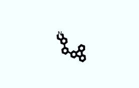 c1cc(-c2ccc3cnccc3c2)cc(-c2ccc3c4ccccc4c4ccccc4c3c2)c1